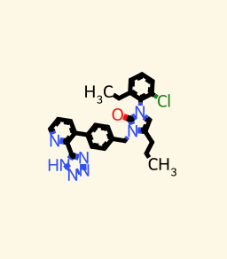 CCCc1cn(-c2c(Cl)cccc2CC)c(=O)n1Cc1ccc(-c2cccnc2-c2nnn[nH]2)cc1